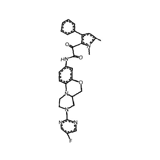 Cc1cc(-c2ccccc2)c(C(=O)C(=O)Nc2ccc3c(c2)OCC2CN(c4ncc(F)cn4)CCN32)n1C